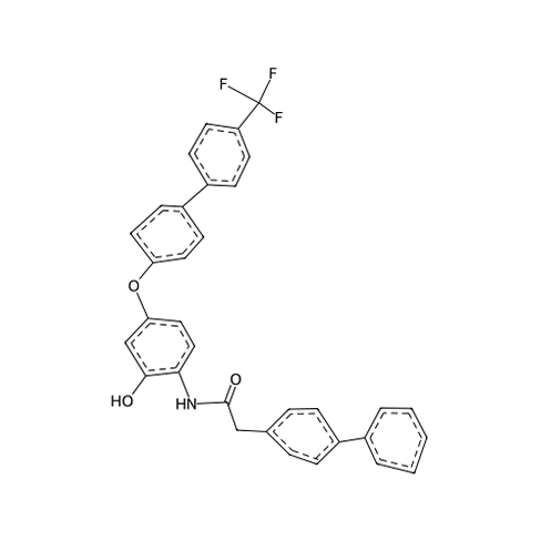 O=C(Cc1ccc(-c2ccccc2)cc1)Nc1ccc(Oc2ccc(-c3ccc(C(F)(F)F)cc3)cc2)cc1O